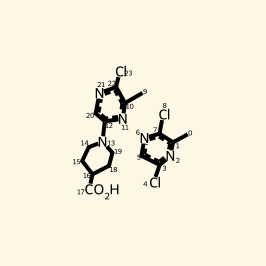 Cc1nc(Cl)cnc1Cl.Cc1nc(N2CCC(C(=O)O)CC2)cnc1Cl